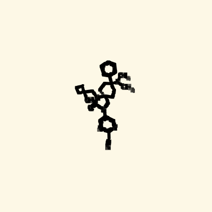 CN(C)[C@]1(c2ccccc2)CC[C@]2(CC1)CN(c1cnc(C#N)nc1)C(=O)N2CC1(O)CCC1